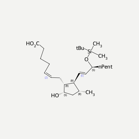 CCCCC[C@@H](/C=C/[C@@H]1[C@@H](C/C=C\CCCC(=O)O)[C@@H](O)C[C@H]1C)O[Si](C)(C)C(C)(C)C